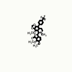 COc1ccc2c(c1OC)C(=O)O[C@@H]2[C@H]1c2c(c(-c3ccc(C(F)(F)F)cc3)c3c(c2OC)OCO3)CCN1C